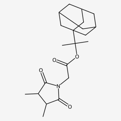 CC1C(=O)N(CC(=O)OC(C)(C)C23CC4CC(CC(C4)C2)C3)C(=O)C1C